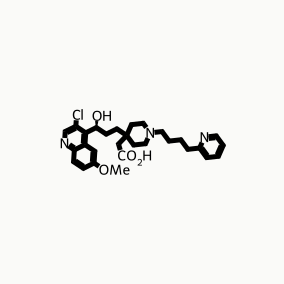 COc1ccc2ncc(Cl)c([C@@H](O)CCC3(CC(=O)O)CCN(CCCCc4ccccn4)CC3)c2c1